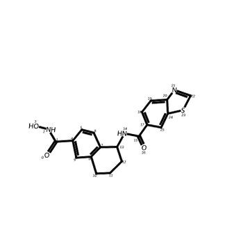 O=C(NO)c1ccc2c(c1)CCCC2NC(=O)c1ccc2ncsc2c1